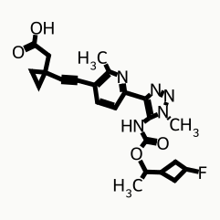 Cc1nc(-c2nnn(C)c2NC(=O)OC(C)C2CC(F)C2)ccc1C#CC1(CC(=O)O)CC1